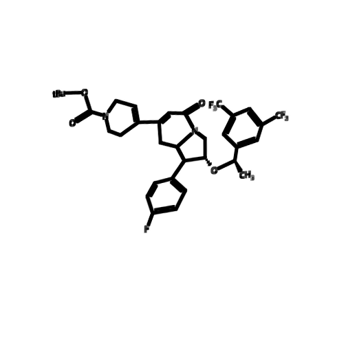 C[C@@H](O[C@H]1CN2C(=O)C=C(C3=CCN(C(=O)OC(C)(C)C)CC3)CC2C1c1ccc(F)cc1)c1cc(C(F)(F)F)cc(C(F)(F)F)c1